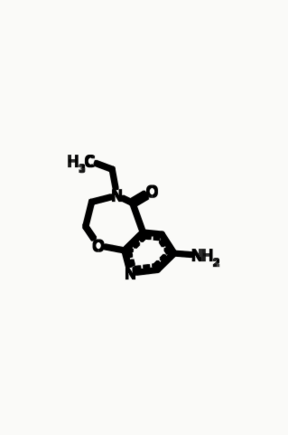 CCN1CCOc2ncc(N)cc2C1=O